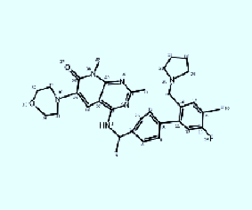 Cc1nc(N[C@H](C)c2ccc(-c3cc(F)c(F)cc3CN3CCCC3)cc2)c2cc(N3CCOCC3)c(=O)n(C)c2n1